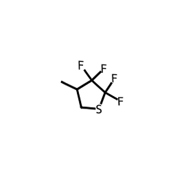 CC1CSC(F)(F)C1(F)F